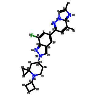 Cc1cn2nc(-c3cc(F)c4nn([C@@H]5CCN(C6CCC6)C6(CC6)C5)cc4c3)cc(C)c2n1